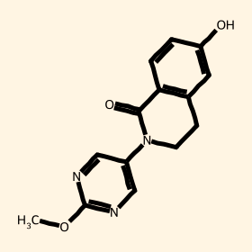 COc1ncc(N2CCc3cc(O)ccc3C2=O)cn1